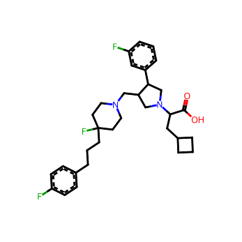 O=C(O)C(CC1CCC1)N1CC(CN2CCC(F)(CCCc3ccc(F)cc3)CC2)C(c2cccc(F)c2)C1